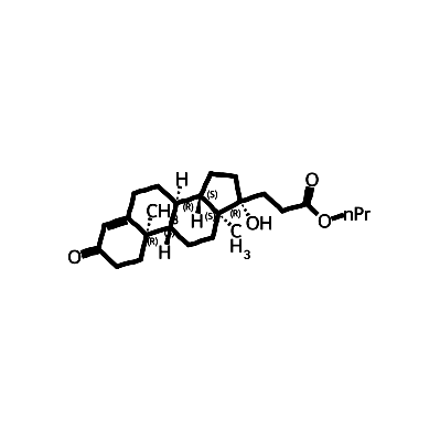 CCCOC(=O)CC[C@]1(O)CC[C@H]2[C@@H]3CCC4=CC(=O)CC[C@]4(C)[C@H]3CC[C@@]21C